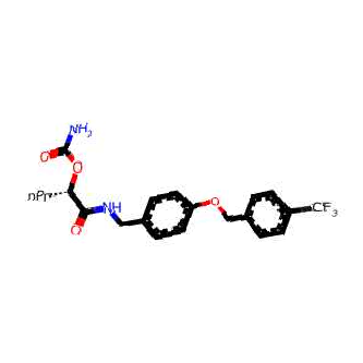 CCC[C@H](OC(N)=O)C(=O)NCc1ccc(OCc2ccc(C(F)(F)F)cc2)cc1